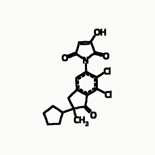 CC1(C2CCCC2)Cc2cc(N3C(=O)C=C(O)C3=O)c(Cl)c(Cl)c2C1=O